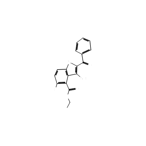 CCOC(=O)c1c(Br)ccc2[nH]c(C(=O)c3ccccc3)c(N)c12